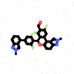 Cn1cc2c(-c3cc(F)c(C(O)c4c(-c5cccc6nn(C)cc56)cc(F)c(C=O)c4F)c(F)c3)cccc2n1